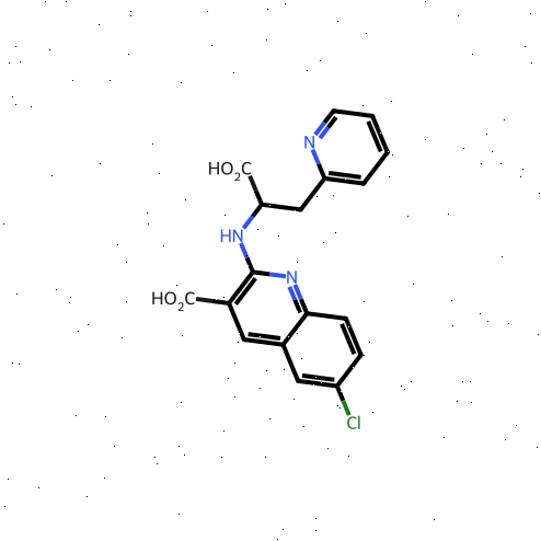 O=C(O)c1cc2cc(Cl)ccc2nc1NC(Cc1ccccn1)C(=O)O